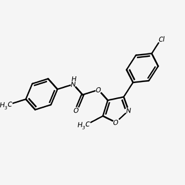 Cc1ccc(NC(=O)Oc2c(-c3ccc(Cl)cc3)noc2C)cc1